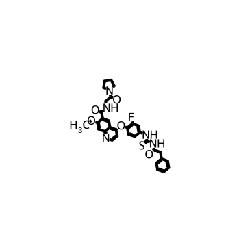 COc1cc2nccc(Oc3ccc(NC(=S)NC(=O)Cc4ccccc4)cc3F)c2cc1C(=O)NCC(=O)N1CCCC1